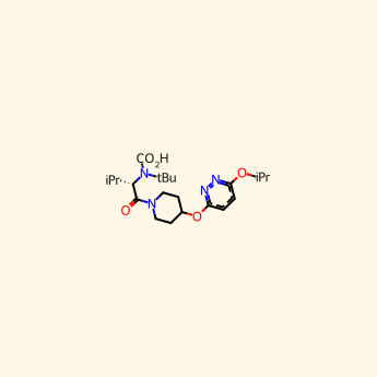 CC(C)Oc1ccc(OC2CCN(C(=O)[C@H](C(C)C)N(C(=O)O)C(C)(C)C)CC2)nn1